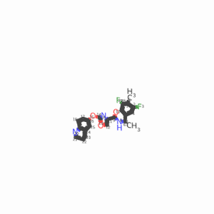 Cc1c(F)cc([C@@H](C)NC(=O)c2coc(Oc3ccc4ncccc4c3)n2)cc1F